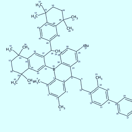 Cc1cc(C)c2c(c1)C(CCc1ccc(-c3ccccc3)cc1C)c1cc(C(C)(C)C)ccc1B2c1cc2c(cc1C(C)c1ccc3c(c1)C(C)(C)CCC3(C)C)C(C)(C)CCC2(C)C